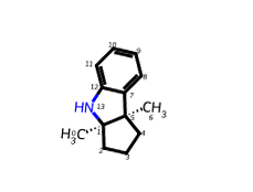 C[C@@]12CCC[C@]1(C)c1ccccc1N2